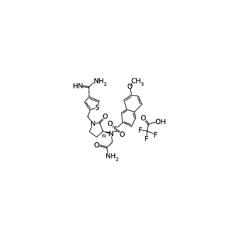 COc1ccc2ccc(S(=O)(=O)N(CC(N)=O)[C@H]3CCN(Cc4cc(C(=N)N)cs4)C3=O)cc2c1.O=C(O)C(F)(F)F